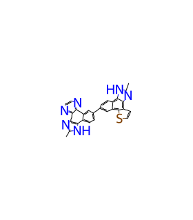 Cc1nc2c3ccsc3c3cc(-c4ccc5c(c4)c4nccnc4c4nc(C)[nH]c54)ccc3c2[nH]1